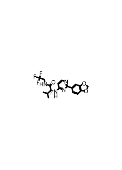 CC(C)[C@@H](Nc1ccnc(-c2ccc3c(c2)OCO3)n1)C(=O)NCC(F)(F)F